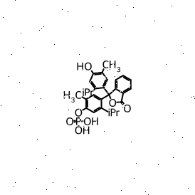 Cc1cc(C2(c3cc(C)c(OP(=O)(O)O)cc3C(C)C)OC(=O)c3ccccc32)c(C(C)C)cc1O